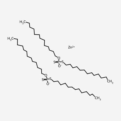 CCCCCCCCCCCCCOP([O-])(=S)SCCCCCCCCCCCCC.CCCCCCCCCCCCCOP([O-])(=S)SCCCCCCCCCCCCC.[Zn+2]